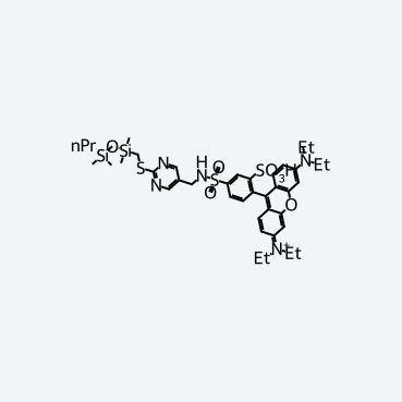 CCC[Si](C)(C)O[Si](C)(C)CSc1ncc(CNS(=O)(=O)c2ccc(-c3c4ccc(=[N+](CC)CC)cc-4oc4cc(N(CC)CC)ccc34)c(S(=O)(=O)O)c2)cn1